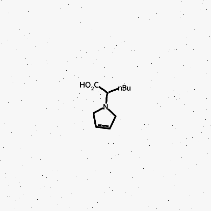 CCCCC(C(=O)O)N1CC=CC1